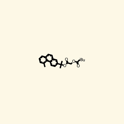 CCC(C)C(=O)OCC(=O)OC(C)(C)c1ccc2c(ccc3cccc(C)c32)c1